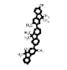 Cc1cc2c(cc1-c1ccc3c(c1)C(C)(C)c1cc(-c4cc5c(cc4C)-c4ccc(C(F)(F)F)cc4C5(C)C)ccc1-3)C(C)(C)c1ccccc1-2